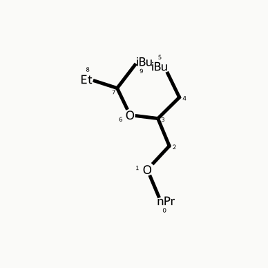 CCCOCC(CC(C)CC)OC(CC)C(C)CC